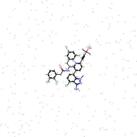 Cn1nc(N)c2c(Cl)ccc(-c3ccc(C#CC(C)(C)O)nc3[C@H](Cc3cc(F)cc(F)c3)NC(=O)Cc3cccc(Cl)c3Cl)c21